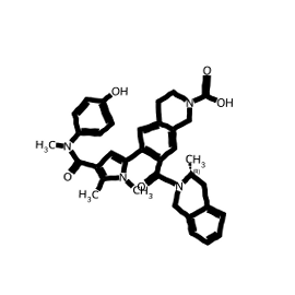 Cc1c(C(=O)N(C)c2ccc(O)cc2)cc(-c2cc3c(cc2C(=O)N2Cc4ccccc4C[C@H]2C)CN(C(=O)O)CC3)n1C